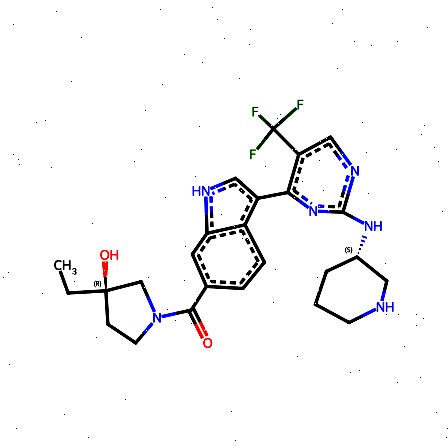 CC[C@@]1(O)CCN(C(=O)c2ccc3c(-c4nc(N[C@H]5CCCNC5)ncc4C(F)(F)F)c[nH]c3c2)C1